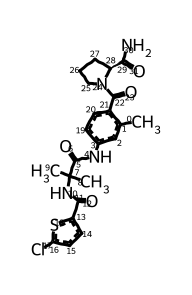 Cc1cc(NC(=O)C(C)(C)NC(=O)c2ccc(Cl)s2)ccc1C(=O)N1CCC[C@H]1C(N)=O